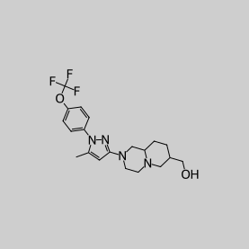 Cc1cc(N2CCN3CC(CO)CCC3C2)nn1-c1ccc(OC(F)(F)F)cc1